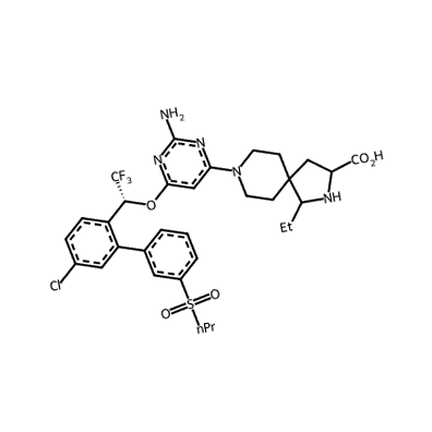 CCCS(=O)(=O)c1cccc(-c2cc(Cl)ccc2[C@@H](Oc2cc(N3CCC4(CC3)CC(C(=O)O)NC4CC)nc(N)n2)C(F)(F)F)c1